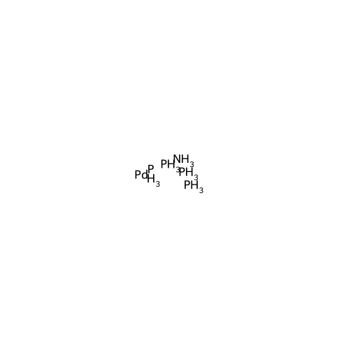 N.P.P.P.P.[Pd]